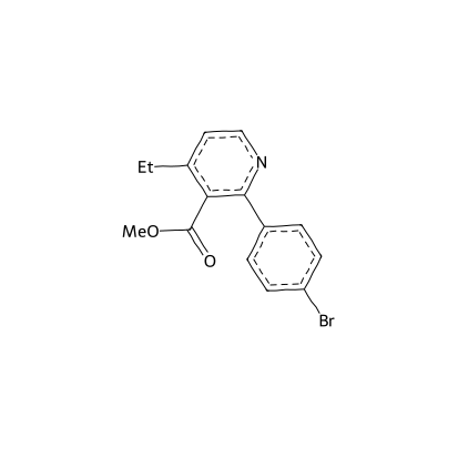 CCc1ccnc(-c2ccc(Br)cc2)c1C(=O)OC